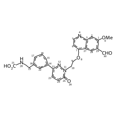 COc1cc2nccc(OCCn3nc(-c4cccc(CNC(=O)O)c4)ccc3=O)c2cc1C=O